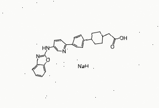 O=C(O)CC1CCC(c2ccc(-c3ccc(Nc4nc5ccccc5o4)cn3)cc2)CC1.[NaH]